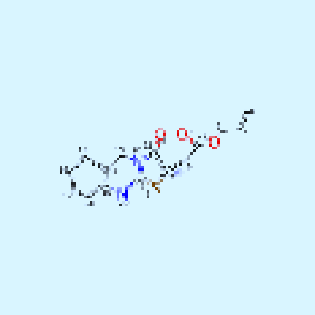 C=CCOC(=O)/C=c1/sc2n(c1=O)Cc1ccccc1N=2